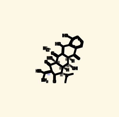 C=C1c2cccc(O)c2C(O)=C2C(=O)[C@]3(O)C(=O)/C(=C(/N)O)C(=O)[C@@H](N(C)C)[C@@H]3[C@@H](O)[C@H]12.[Cl-].[H+]